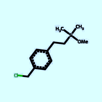 CO[Si](C)(C)CCc1ccc(CCl)cc1